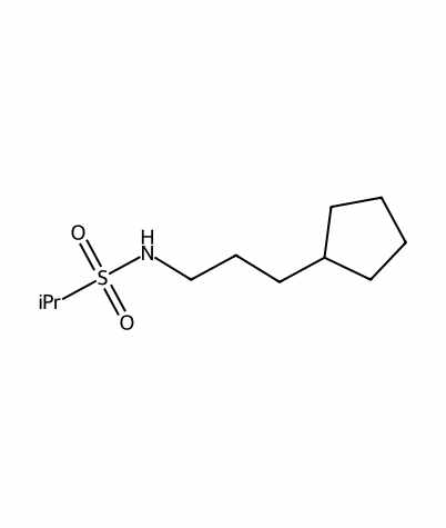 CC(C)S(=O)(=O)NCCCC1CCCC1